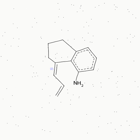 C=C/C=C1/CCCc2cccc(N)c21